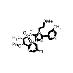 COCCn1c(NS(=O)(=O)[C@@H](C)[C@@H](OC(C)C)c2ncc(Cl)cn2)nnc1-c1cncc(C)c1